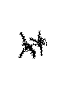 CCCCCCCCOC(=O)c1ccc(C(=O)OCCCCCCCC)c(C(=O)OCCCCCCCC)c1.CCCCCCCCc1c(CCCCCCCC)c(C(=O)O)c(C(=O)O)c(CCCCCCCC)c1C(=O)O